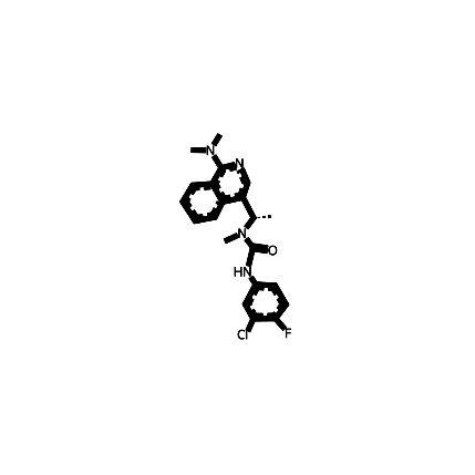 C[C@@H](c1cnc(N(C)C)c2ccccc12)N(C)C(=O)Nc1ccc(F)c(Cl)c1